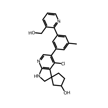 Cc1cc(-c2cnc3c(c2Cl)C2(CCC(O)C2)CN3)cc(-c2ncccc2CO)c1